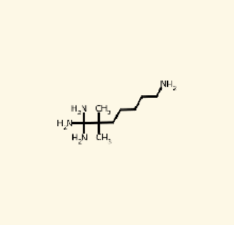 CC(C)(CCCCCN)C(N)(N)N